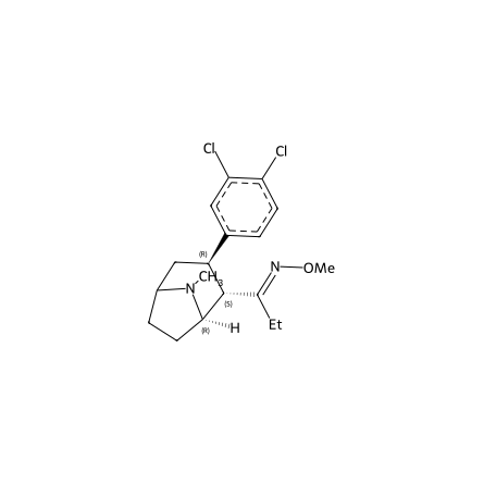 CCC(=NOC)[C@@H]1[C@H]2CCC(C[C@H]1c1ccc(Cl)c(Cl)c1)N2C